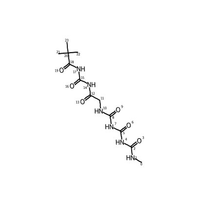 CNC(=O)NC(=O)NC(=O)NCC(=O)NC(=O)NC(=O)C(C)(C)C